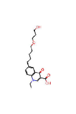 CCn1cc(C(=O)O)c(=O)c2cc(CCCCCOCCCO)ccc21